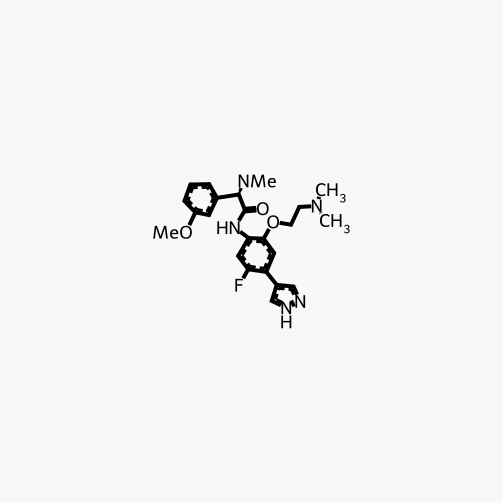 CN[C@@H](C(=O)Nc1cc(F)c(-c2cn[nH]c2)cc1OCCN(C)C)c1cccc(OC)c1